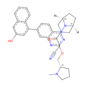 CN1CCC[C@H]1COc1nc(N2[C@@H]3CC[C@H]2CN(C(=O)CC#N)C3)c2ccc(-c3cc(O)cc4ccccc34)cc2n1